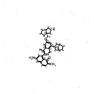 Cc1ccc2nc(N)cc(-c3ncc4c(N5CC6CCC(C5)O6)nc(OC[C@@]56CCCN5C[C@H](F)C6)nc4c3F)c2c1Cl